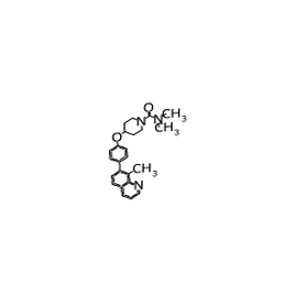 Cc1c(-c2ccc(OC3CCN(C(=O)N(C)C)CC3)cc2)ccc2cccnc12